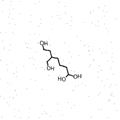 OCCC(CO)CCCC(O)O